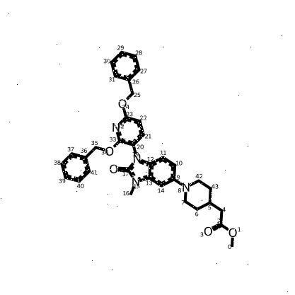 COC(=O)CC1CCN(c2ccc3c(c2)n(C)c(=O)n3-c2ccc(OCc3ccccc3)nc2OCc2ccccc2)CC1